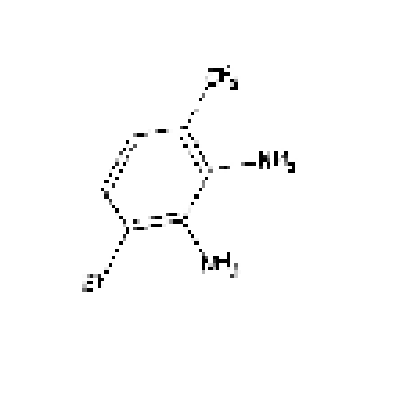 CCc1ccc(C(F)(F)F)c(N)c1N